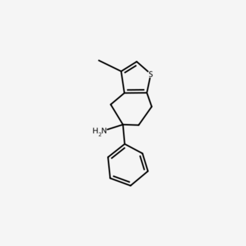 Cc1csc2c1CC(N)(c1ccccc1)CC2